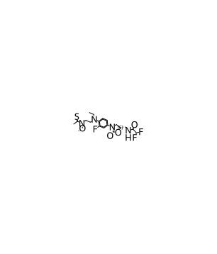 CCN(CCN(OC)C(C)=S)c1ccc(N2C[C@H](CNC(=O)C(F)F)OC2=O)cc1F